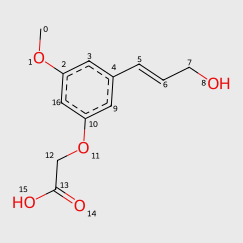 COc1cc(C=CCO)cc(OCC(=O)O)c1